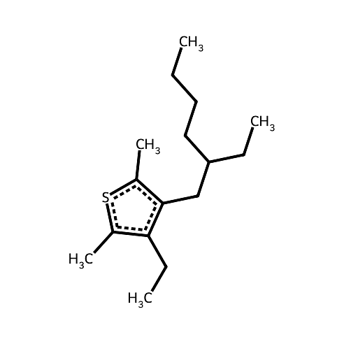 CCCCC(CC)Cc1c(C)sc(C)c1CC